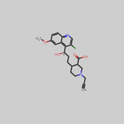 C#CCN1CCC(CC[C@@H](O)c2c(F)cnc3ccc(OC)cc23)C(C(=O)O)C1